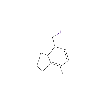 CC1=C2CCCC2C(CI)C=C1